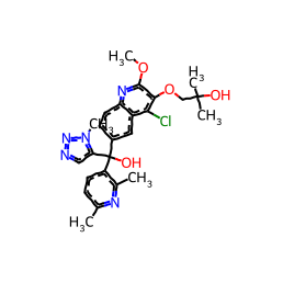 COc1nc2ccc(C(O)(c3ccc(C)nc3C)c3cnnn3C)cc2c(Cl)c1OCC(C)(C)O